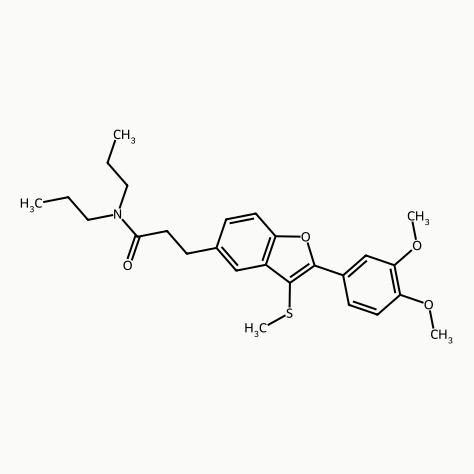 CCCN(CCC)C(=O)CCc1ccc2oc(-c3ccc(OC)c(OC)c3)c(SC)c2c1